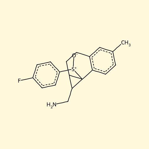 Cc1ccc2c(c1)CCC1C(CN)C21[S+]([O-])c1ccc(F)cc1